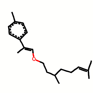 CC(C)=CCCC(C)CCOC=C(C)c1ccc(C)cc1